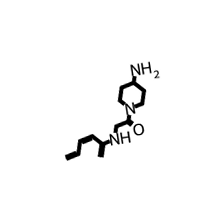 C=C/C=C\C(=C)NCC(=O)N1CCC(N)CC1